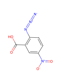 [N-]=[N+]=Nc1ccc([N+](=O)[O-])cc1C(=O)O